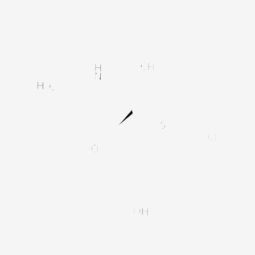 C[C@@H]1C[C@]2(C[C@H](C)N1)OC[C@@H](O)c1cc(Cl)sc12